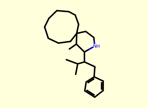 CC(C)C(Cc1ccccc1)C1NCCC2(CCCCCCCCC2)C1C